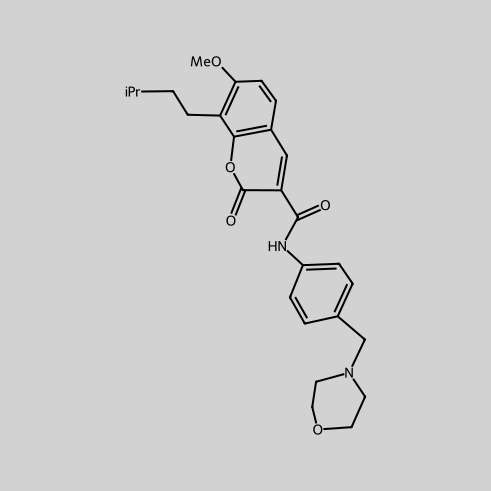 COc1ccc2cc(C(=O)Nc3ccc(CN4CCOCC4)cc3)c(=O)oc2c1CCC(C)C